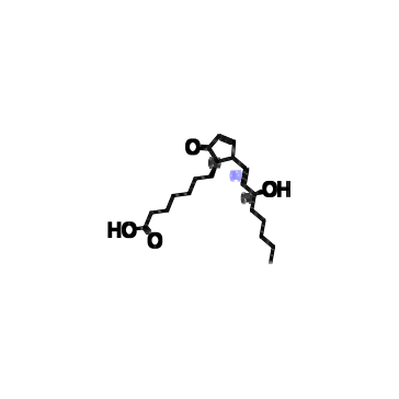 CCCCC[C@H](O)/C=C/C1C=CC(=O)[C@@H]1CCCCCCC(=O)O